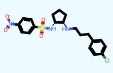 O=[N+]([O-])c1ccc(S(=O)(=O)N[C@@H]2CCC[C@H]2NCCCc2ccc(Cl)cc2)cc1